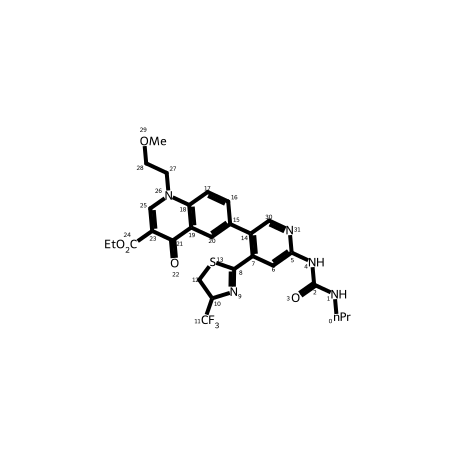 CCCNC(=O)Nc1cc(C2=NC(C(F)(F)F)CS2)c(-c2ccc3c(c2)c(=O)c(C(=O)OCC)cn3CCOC)cn1